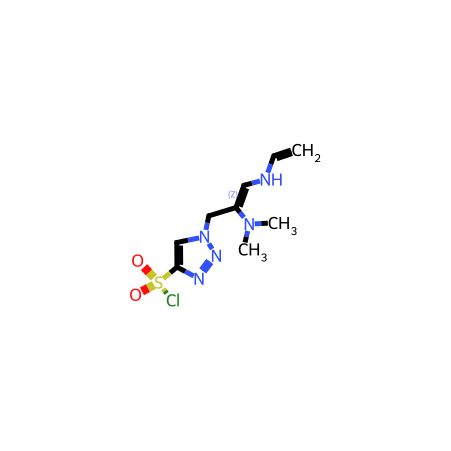 C=CN/C=C(/Cn1cc(S(=O)(=O)Cl)nn1)N(C)C